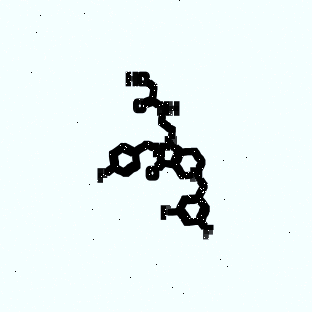 O=C(CO)NCCn1c2c(c(=O)n1Cc1ccc(F)cc1)CN(Cc1cc(F)cc(F)c1)CC2